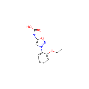 CCOc1ccccc1-[n+]1cc([N-]C(=O)O)on1